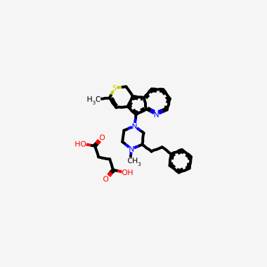 CC1=Cc2c(c3ccccnc-3c2N2CCN(C)C(CCc3ccccc3)C2)CS1.O=C(O)CCC(=O)O